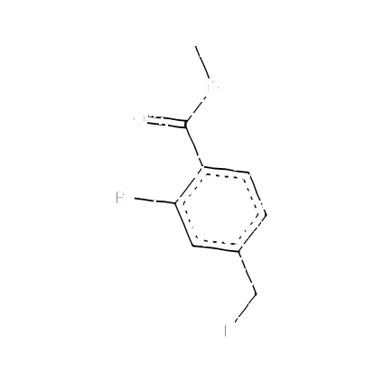 COC(=O)c1ccc(CF)cc1Br